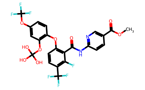 COC(=O)c1ccc(NC(=O)c2c(Oc3ccc(OC(F)(F)F)cc3OC(O)(O)O)ccc(C(F)(F)F)c2F)nc1